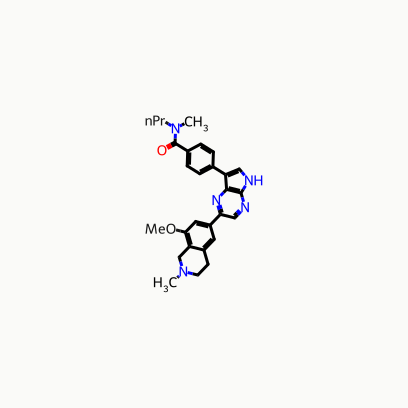 CCCN(C)C(=O)c1ccc(-c2c[nH]c3ncc(-c4cc5c(c(OC)c4)CN(C)CC5)nc23)cc1